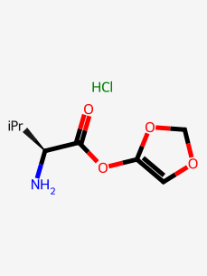 CC(C)[C@H](N)C(=O)OC1=COCO1.Cl